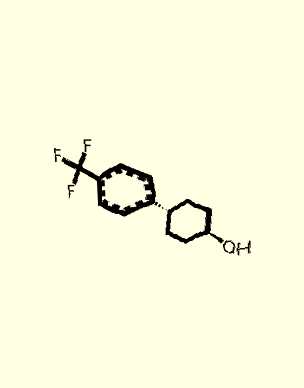 O[C@H]1CC[C@H](c2ccc(C(F)(F)F)cc2)CC1